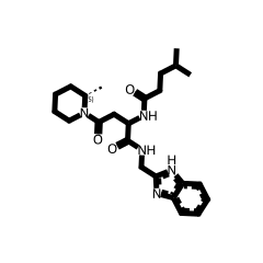 CC(C)CCC(=O)NC(CC(=O)N1CCCC[C@@H]1C)C(=O)NCc1nc2ccccc2[nH]1